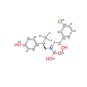 CC(C)(C)[C@@H](CN(CC(O)c1cccc(Cl)c1)C(=O)O)c1ccc(O)cc1